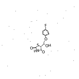 O=C1NC(=O)C(C(O)COc2ccc(F)cc2)S1